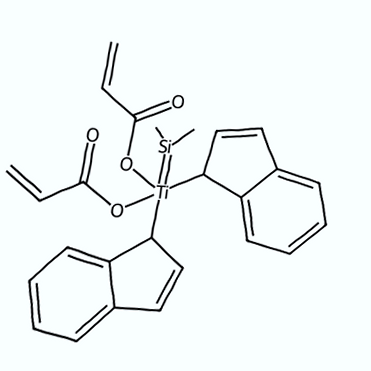 C=CC(=O)[O][Ti]([O]C(=O)C=C)([CH]1C=Cc2ccccc21)([CH]1C=Cc2ccccc21)=[Si](C)C